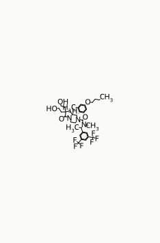 CCCCOc1ccc([C@H]2[C@@H]3CC(CCO)(CCO)C(=O)N3CCN2C(=O)N(C)[C@H](C)c2cc(C(F)(F)F)cc(C(F)(F)F)c2)c(C)c1